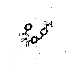 CN(C)C(=O)N1CCC(Cc2ccc(NC(=O)OC(Cl)c3ccccc3)cc2)CC1